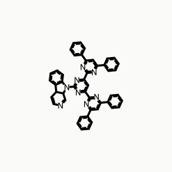 C1=CC2c3ccccc3N(c3nc(-c4nc(-c5ccccc5)cc(-c5ccccc5)n4)cc(-c4nc(-c5ccccc5)cc(-c5ccccc5)n4)n3)C2C=N1